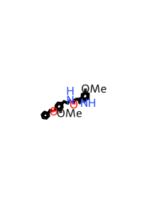 COc1ccc2[nH]cc(CC(=O)NCCc3ccc(OCc4ccccc4)c(OC)c3)c2c1